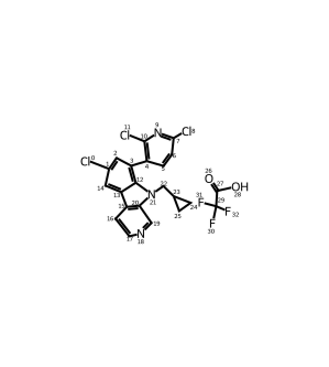 Clc1cc(-c2ccc(Cl)nc2Cl)c2c(c1)c1ccncc1n2CC1CC1.O=C(O)C(F)(F)F